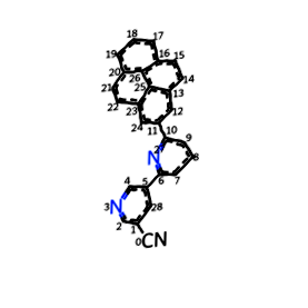 N#Cc1cncc(-c2cccc(-c3cc4ccc5cccc6ccc(c3)c4c56)n2)c1